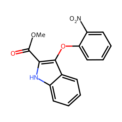 COC(=O)c1[nH]c2ccccc2c1Oc1ccccc1[N+](=O)[O-]